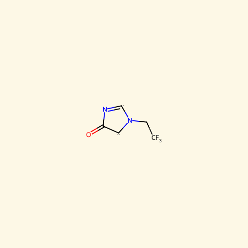 O=C1[C]N(CC(F)(F)F)[C]=N1